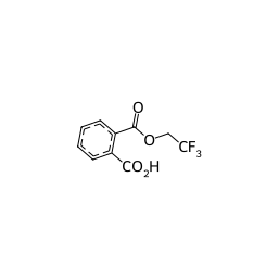 O=C(O)c1ccccc1C(=O)OCC(F)(F)F